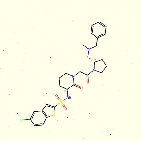 CN(Cc1ccccc1)C[C@@H]1CCCN1C(=O)CN1CCC[C@H](NS(=O)(=O)c2cc3cc(Cl)ccc3s2)C1=O